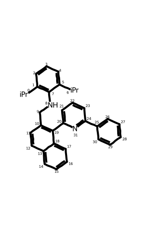 CC(C)c1cccc(C(C)C)c1NCc1ccc2ccccc2c1-c1cccc(-c2ccccc2)n1